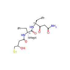 CCCCCCC[C@@](CC(C)C)(NC(=O)CC(O)CS)C(=O)N[C@@H](CC(C)C)C(=O)CC(N)=O